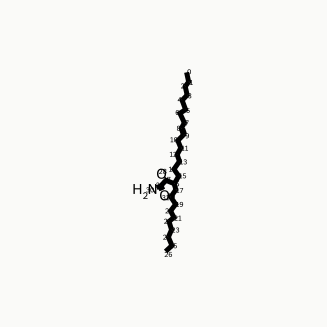 CCCCCCCCC=CCCCCCCC(CCCCCCCCCC)C(=O)C(N)=O